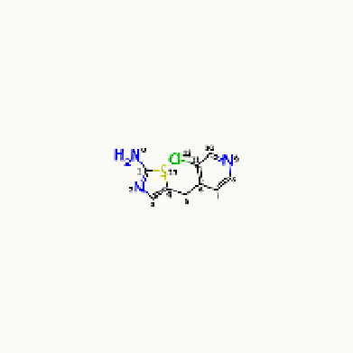 Nc1ncc(Cc2ccncc2Cl)s1